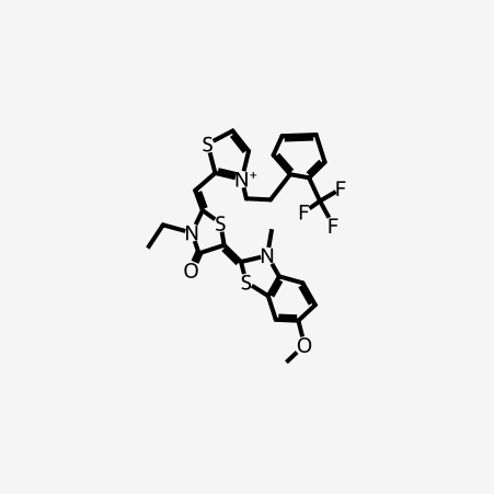 CCn1c(=O)/c(=C2\Sc3cc(OC)ccc3N2C)s/c1=C\c1scc[n+]1CCc1ccccc1C(F)(F)F